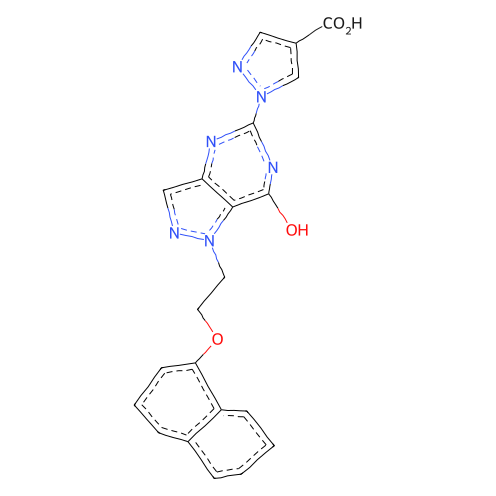 O=C(O)c1cnn(-c2nc(O)c3c(cnn3CCOc3cccc4ccccc34)n2)c1